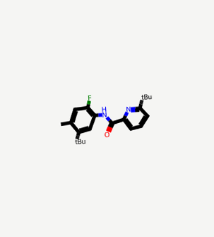 Cc1cc(F)c(NC(=O)c2cccc(C(C)(C)C)n2)cc1C(C)(C)C